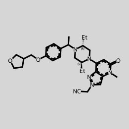 CC[C@H]1CN(C(C)c2ccc(OCC3CCOC3)cc2)[C@H](CC)CN1c1cc(=O)n(C)c2cn(CC#N)nc12